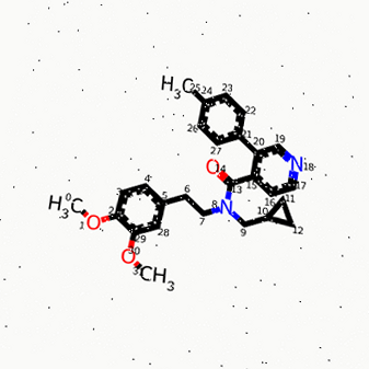 COc1ccc(CCN(CC2CC2)C(=O)c2ccncc2-c2ccc(C)cc2)cc1OC